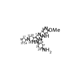 COc1cc(Nc2ncc(C3CCN(C4CCCC4)CC3)c(N[C@H]3CC[C@H](N)CC3)n2)ccn1